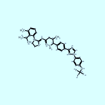 Cc1cccc(N2CCS/C2=N\C(=O)CC(C)C(C)c2ccc(-c3ncn(-c4ccc(OC(F)(F)F)cc4)n3)cc2)c1C(C)C